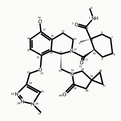 CNC(=O)[C@@]1(C)CCCC[C@H]1C(=O)N1CCc2c(Cl)ccc(OCc3cn(C)nn3)c2[C@H]1CN1CC2(CC2)CC1=O